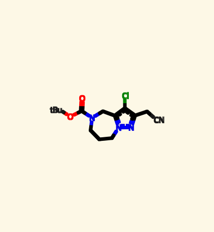 CC(C)(C)OC(=O)N1CCCn2nc(CC#N)c(Cl)c2C1